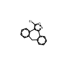 CCc1onc2c1-c1ccccc1Cc1ccccc1-2